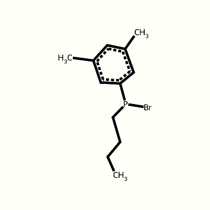 CCCCP(Br)c1cc(C)cc(C)c1